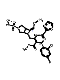 CNS(=O)(=O)N1CC2/C(=C\OC)N(CC3=C(C(=O)OC)[C@H](c4ccc(F)cc4Cl)N=C(c4nccs4)N3)C2C1